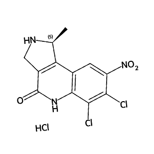 C[C@@H]1NCc2c1c1cc([N+](=O)[O-])c(Cl)c(Cl)c1[nH]c2=O.Cl